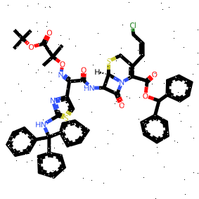 CC(C)(C)OC(=O)C(C)(C)O/N=C(\C(=O)NC1C(=O)N2C(C(=O)OC(c3ccccc3)c3ccccc3)=C(/C=C\CCl)CS[C@H]12)c1csc(NC(c2ccccc2)(c2ccccc2)c2ccccc2)n1